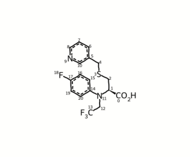 O=C(O)[C@H](CSCc1cccnc1)N(CC(F)(F)F)c1ccc(F)cc1